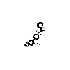 Cc1cc2ncnn2cc1C1CCN(S(=O)(=O)c2cnn3cccnc23)CC1